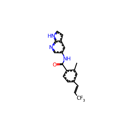 Cc1cc(C=CC(F)(F)F)ccc1C(=O)Nc1cnc2[nH]ccc2c1